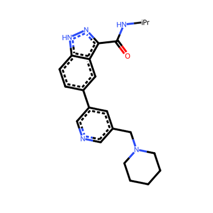 CC(C)NC(=O)c1n[nH]c2ccc(-c3cncc(CN4CCCCC4)c3)cc12